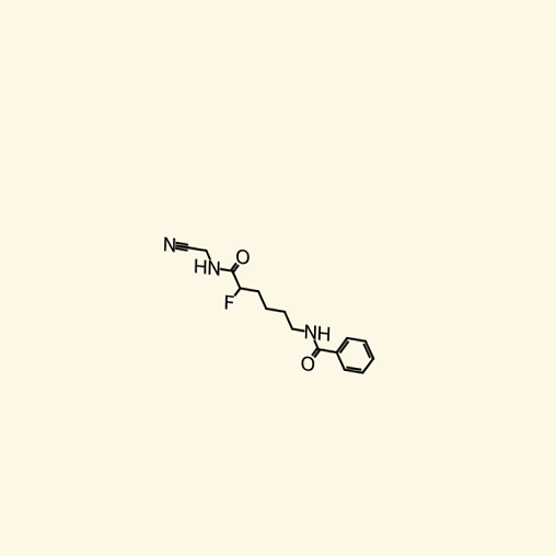 N#CCNC(=O)C(F)CCCCNC(=O)c1ccccc1